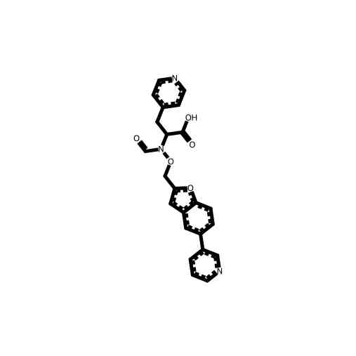 O=CN(OCc1cc2cc(-c3cccnc3)ccc2o1)C(Cc1ccncc1)C(=O)O